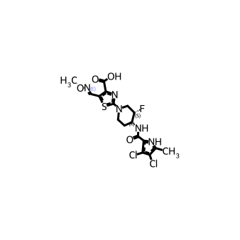 CO/N=C/c1sc(N2CC[C@@H](NC(=O)c3[nH]c(C)c(Cl)c3Cl)[C@@H](F)C2)nc1C(=O)O